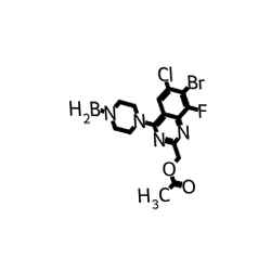 BN1CCN(c2nc(COC(C)=O)nc3c(F)c(Br)c(Cl)cc23)CC1